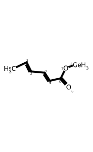 CC=CC=CC(=O)[O][GeH3]